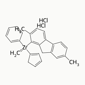 Cl.Cl.[CH2]=[Zr]([C]1=CC=CC1)([c]1ccccc1)[c]1c(C)ccc2c1Cc1cc(C)ccc1-2